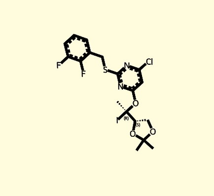 CC1(C)OC[C@@H]([C@@](C)(I)Oc2cc(Cl)nc(SCc3cccc(F)c3F)n2)O1